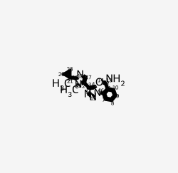 Cn1c(-c2cn(-c3ccccc3C(N)=O)nn2)cnc1C1(C)CC1